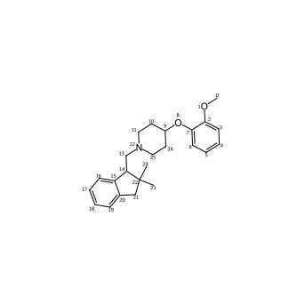 COc1ccccc1OC1CCN(CC2c3ccccc3CC2(C)C)CC1